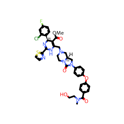 COC(=O)C1=C(CN2CCN3C(=O)N(c4ccc(Oc5ccc(C(=O)N(C)CCO)cc5)cc4)C[C@@H]3C2)NC(c2nccs2)=N[C@H]1c1ccc(F)cc1Cl